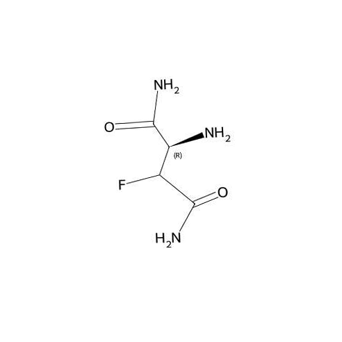 NC(=O)C(F)[C@H](N)C(N)=O